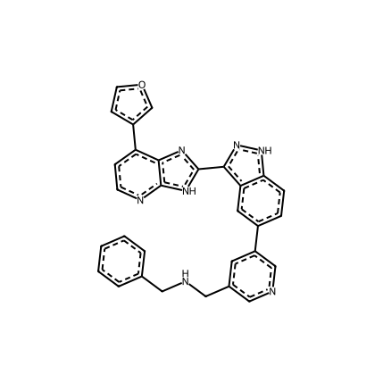 c1ccc(CNCc2cncc(-c3ccc4[nH]nc(-c5nc6c(-c7ccoc7)ccnc6[nH]5)c4c3)c2)cc1